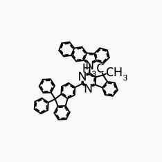 CC1(C)c2ccccc2-c2nc(-c3ccc4c(c3)-c3ccccc3C4(c3ccccc3)c3ccccc3)nc(-n3c4ccccc4c4cc5ccccc5cc43)c21